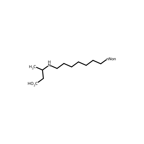 CCCCCCCCCCCCCCCCNC(C)CC(=O)O